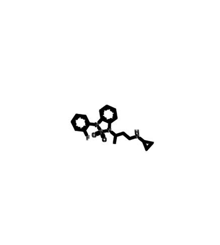 CC(CCNC1CC1)N1c2ccccc2N(c2ccccc2F)S1(=O)=O